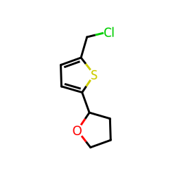 ClCc1ccc(C2CCCO2)s1